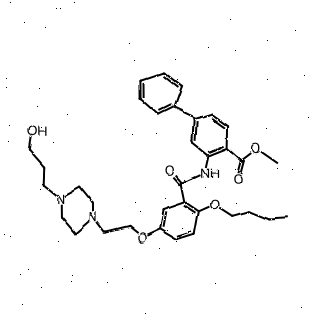 CCCCOc1ccc(OCCN2CCN(CCCO)CC2)cc1C(=O)Nc1cc(-c2ccccc2)ccc1C(=O)OC